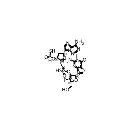 Nc1nc2c(ncn2[C@@H]2O[C@H](CO)[C@@H](F)[C@H]2OP(=O)(S)OC[C@H]2O[C@@H](c3cnc4c(N)ncnn34)C[C@@H]2O[PH](=O)S)c(=O)[nH]1